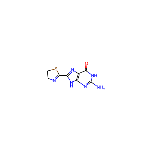 Nc1nc2[nH]c(C3=NCCS3)nc2c(=O)[nH]1